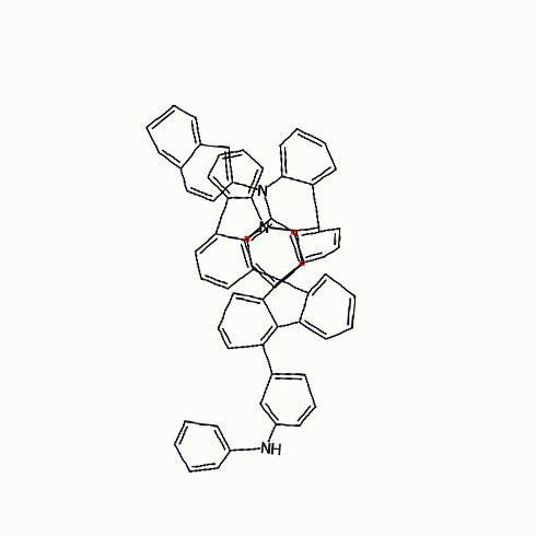 c1ccc(Nc2cccc(-c3cccc4c3-c3ccccc3C43c4cccc(-c5ccccc5N(c5ccccc5)c5ccc6ccccc6c5)c4-n4c5ccccc5c5cccc3c54)c2)cc1